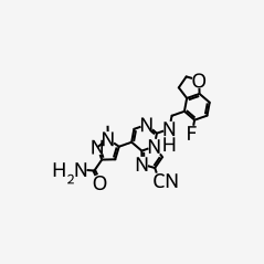 Cn1nc(C(N)=O)cc1-c1cnc(NCc2c(F)ccc3c2CCO3)n2cc(C#N)nc12